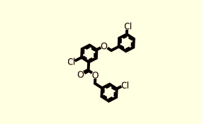 O=C(OCc1cccc(Cl)c1)c1cc(OCc2cccc(Cl)c2)ccc1Cl